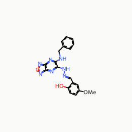 COc1ccc(O)c(C=NNc2nc3nonc3nc2NCc2ccccc2)c1